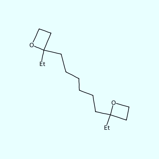 CCC1(CCCCCCC2(CC)CCO2)CCO1